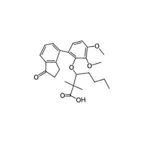 CCCCC(Oc1c(-c2cccc3c2CCC3=O)ccc(OC)c1OC)C(C)(C)C(=O)O